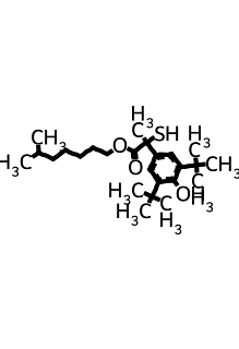 CC(C)CCCCCOC(=O)C(C)(S)c1cc(C(C)(C)C)c(O)c(C(C)(C)C)c1